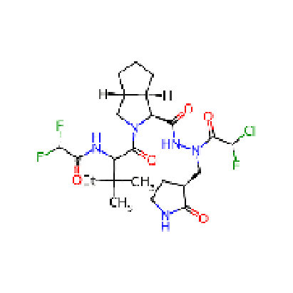 CCC(C)(C)C(NC(=O)C(F)F)C(=O)N1C[C@@H]2CCC[C@@H]2[C@H]1C(=O)NN(C[C@@H]1CCNC1=O)C(=O)C(F)Cl